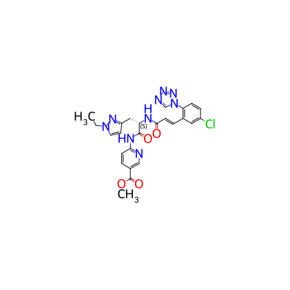 CCn1ccc(C[C@H](NC(=O)C=Cc2cc(Cl)ccc2-n2cnnn2)C(=O)Nc2ccc(C(=O)OC)cn2)n1